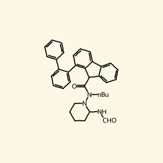 CCCCN(C(=O)C1c2ccccc2-c2cccc(-c3ccccc3-c3ccccc3)c21)N1CCCCC1NC=O